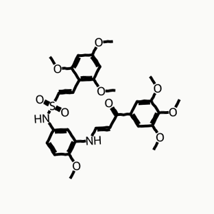 COc1cc(OC)c(C=CS(=O)(=O)Nc2ccc(OC)c(NC=CC(=O)c3cc(OC)c(OC)c(OC)c3)c2)c(OC)c1